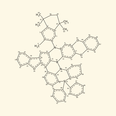 Cc1cc2c(cc1N1c3cc4c(cc3B3c5c1cc1c(oc6ccccc61)c5-c1cccc5c1N3c1ccccc1[Si]5(c1ccccc1)c1ccccc1)Oc1ccccc1O4)C(C)(C)CCC2(C)C